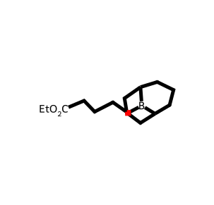 CCOC(=O)CCCCB1C2CCCC1CCC2